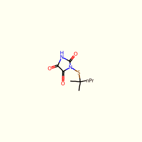 CCCC(C)(C)SN1C(=O)NC(=O)C1=O